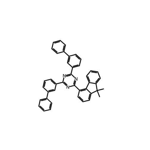 CC1(C)c2ccccc2-c2c(-c3nc(-c4cccc(-c5ccccc5)c4)nc(-c4cccc(-c5ccccc5)c4)n3)cccc21